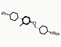 CCCCCCCCC[C@H]1CC[C@H](COc2ccc([C@H]3CC[C@H](CCC)CC3)c(C)c2)CC1